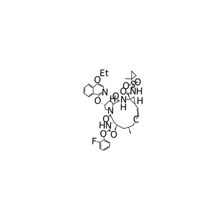 CCOc1cnc(O[C@@H]2C[C@H]3C(=O)N[C@]4(C(=O)NS(=O)(=O)C5(C)CC5)C[C@H]4/C=C\CC[C@@H](C)C[C@@H](C)[C@H](NC(=O)Oc4ccccc4F)C(=O)N3C2)c2ccccc12